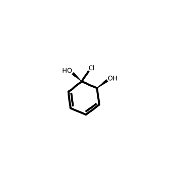 O[C@H]1C=CC=C[C@]1(O)Cl